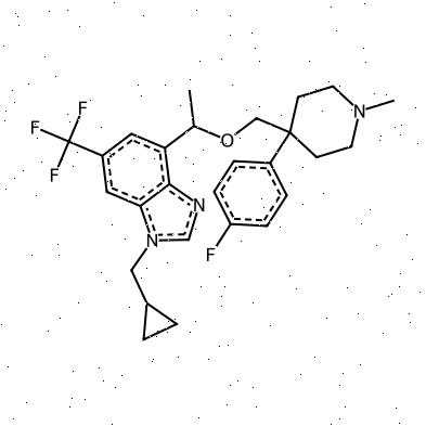 CC(OCC1(c2ccc(F)cc2)CCN(C)CC1)c1cc(C(F)(F)F)cc2c1ncn2CC1CC1